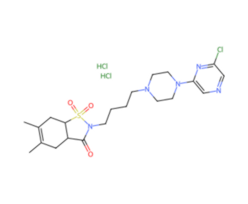 CC1=C(C)CC2C(C1)C(=O)N(CCCCN1CCN(c3cncc(Cl)n3)CC1)S2(=O)=O.Cl.Cl